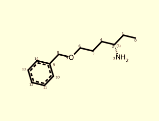 CC[C@H](N)CCCOCc1ccccc1